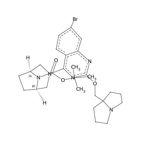 CC(C)(C)OC(=O)N1[C@@H]2CC[C@H]1CN(c1nc(OCC34CCCN3CCC4)nc3cc(Br)ccc13)C2